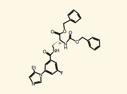 CCc1cncn1-c1cc(F)cc(C(=O)NC[C@@H](NC(=O)OCc2ccccc2)C(=O)OCc2ccccc2)c1